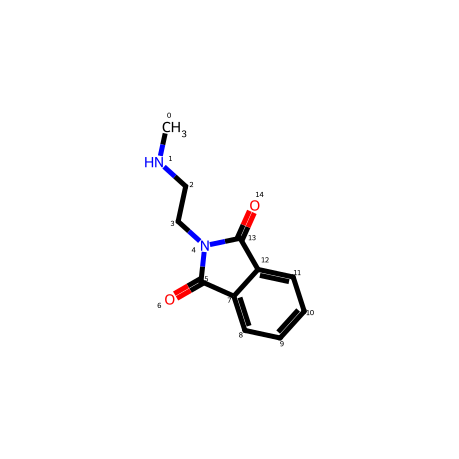 CNCCN1C(=O)c2ccccc2C1=O